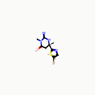 CN1C(=N)N[C@](C)(c2ncc(Br)s2)CC1=O